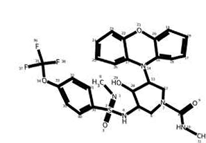 CN=S(=O)(NC1CN(C(=O)NC)CC(N2c3ccccc3Oc3ccccc32)C1O)c1ccc(OC(F)(F)F)cc1